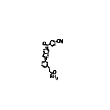 N#Cc1ccc(C(=O)N2CC3CN(c4cccc(CCC(N)=O)c4)CC3C2)cc1